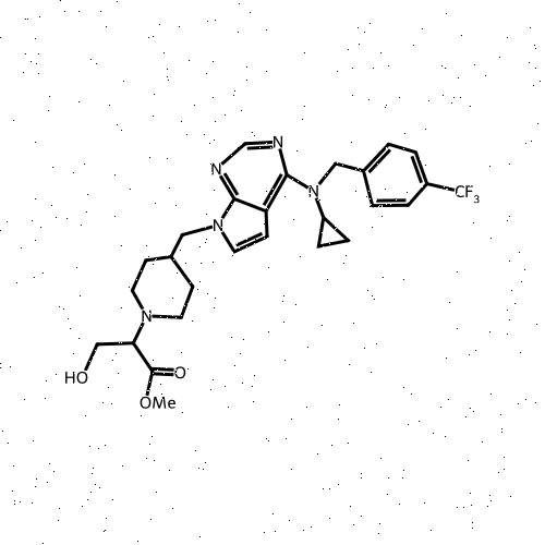 COC(=O)C(CO)N1CCC(Cn2ccc3c(N(Cc4ccc(C(F)(F)F)cc4)C4CC4)ncnc32)CC1